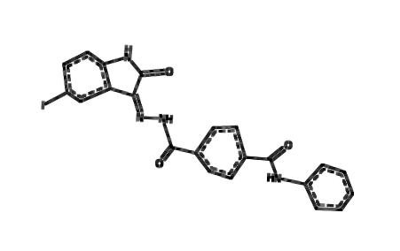 O=C1Nc2ccc(I)cc2/C1=N/NC(=O)c1ccc(C(=O)Nc2ccccc2)cc1